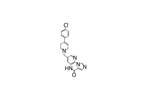 O=c1[nH]c2cc(CN3CC=C(c4ccc(Cl)cc4)CC3)cnc2n2cncc12